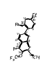 C#Cc1cc2cc(-c3ccc(CC)cc3F)ccc2c(F)c1OC(F)(F)F